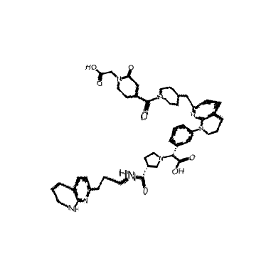 O=C(O)CN1CCC(C(=O)N2CCC(Cc3ccc4c(n3)N(c3cccc([C@H](C(=O)O)N5CC[C@@H](C(=O)NCCCc6ccc7c(n6)NCCC7)C5)c3)CCC4)CC2)CC1=O